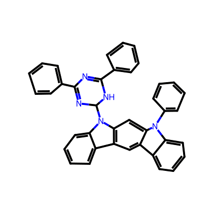 c1ccc(C2=NC(n3c4ccccc4c4cc5c6ccccc6n(-c6ccccc6)c5cc43)NC(c3ccccc3)=N2)cc1